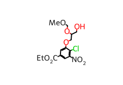 CCOC(=O)c1cc(OCC(CO)OCOC)c(Cl)c([N+](=O)[O-])c1